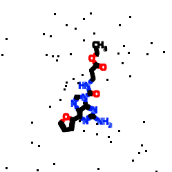 CCOC(=O)CCNC(=O)n1cnc2c(-c3ccco3)nc(N)nc21